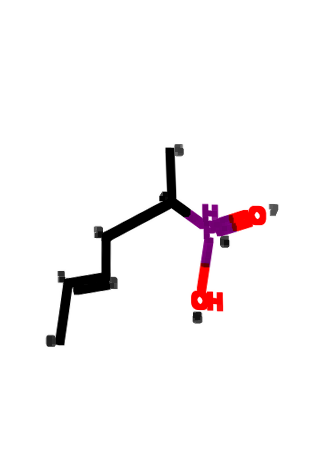 CC=CCC(C)[PH](=O)O